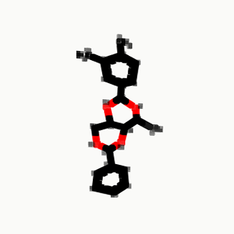 CCC(C)C1OC(c2ccc(C)c(C)c2)OC2COC(c3ccccc3)OC21